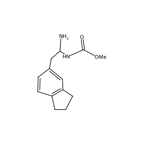 COC(=O)NC(N)Cc1ccc2c(c1)CCC2